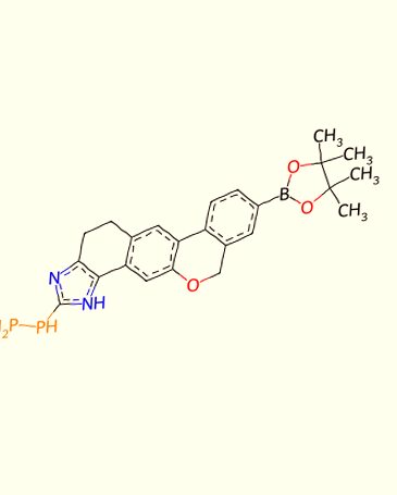 CC1(C)OB(c2ccc3c(c2)COc2cc4c(cc2-3)CCc2nc(PP)[nH]c2-4)OC1(C)C